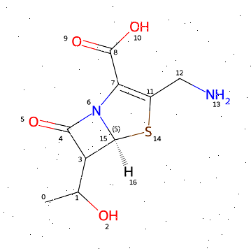 CC(O)C1C(=O)N2C(C(=O)O)=C(CN)S[C@@H]12